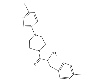 Cc1ccc(CC(N)C(=O)N2CCN(c3ccc(F)cc3)CC2)cc1